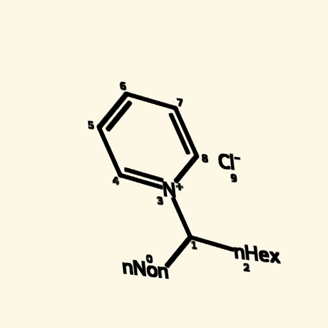 CCCCCCCCCC(CCCCCC)[n+]1ccccc1.[Cl-]